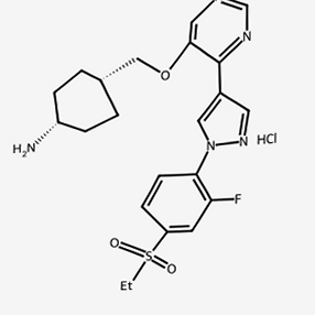 CCS(=O)(=O)c1ccc(-n2cc(-c3ncncc3OC[C@H]3CC[C@@H](N)CC3)cn2)c(F)c1.Cl